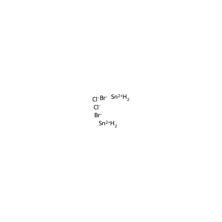 [Br-].[Br-].[Cl-].[Cl-].[SnH2+2].[SnH2+2]